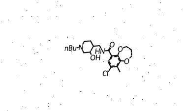 CCCCN1CCC(CNC(=O)c2cc(Cl)c(C)c3c2OCCCO3)C(O)C1